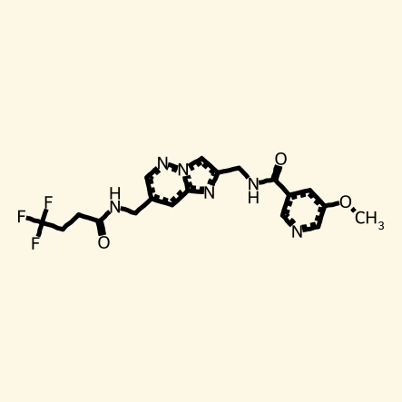 COc1cncc(C(=O)NCc2cn3ncc(CNC(=O)CCC(F)(F)F)cc3n2)c1